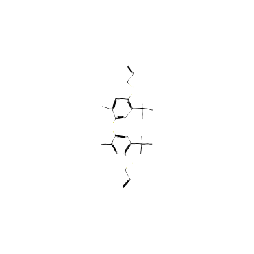 C=CCSc1cc(C)c(Sc2cc(C(C)(C)C)c(SCC=C)cc2C)cc1C(C)(C)C